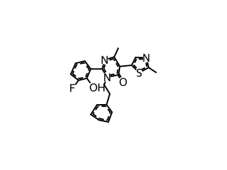 Cc1ncc(-c2c(C)nc(-c3cccc(F)c3O)n(CCc3ccccc3)c2=O)s1